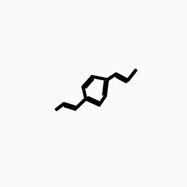 CC=Cc1ccc(C=CC)cc1